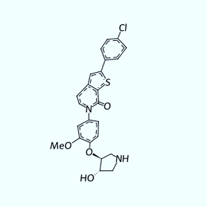 COc1cc(-n2ccc3cc(-c4ccc(Cl)cc4)sc3c2=O)ccc1O[C@H]1CNC[C@@H]1O